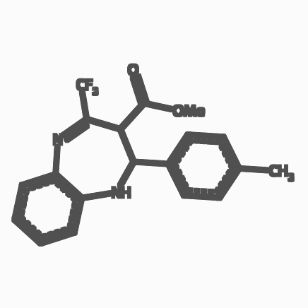 COC(=O)C1C(C(F)(F)F)=Nc2ccccc2NC1c1ccc(C)cc1